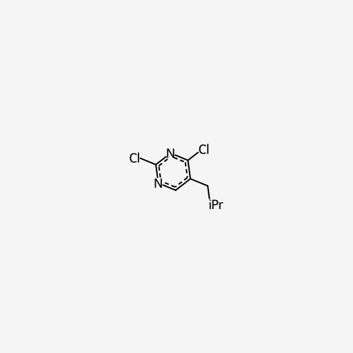 CC(C)Cc1cnc(Cl)nc1Cl